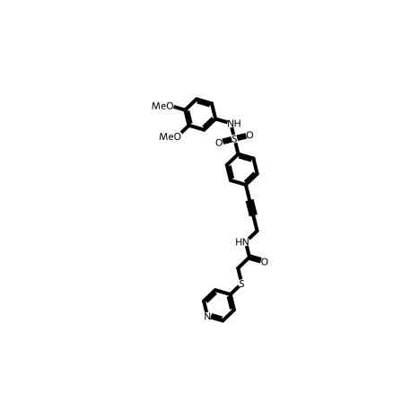 COc1ccc(NS(=O)(=O)c2ccc(C#CCNC(=O)CSc3ccncc3)cc2)cc1OC